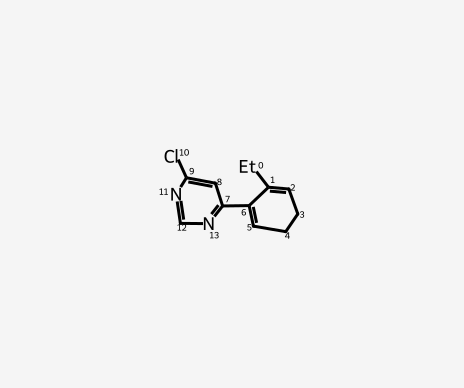 CCC1=CCCC=C1c1cc(Cl)ncn1